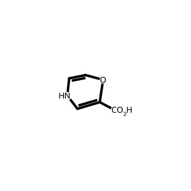 O=C(O)C1=CNC=CO1